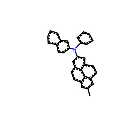 Cc1cc2ccc3cc(N(c4ccccc4)c4ccc5ccccc5c4)cc4ccc(c1)c2c34